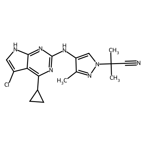 Cc1nn(C(C)(C)C#N)cc1Nc1nc(C2CC2)c2c(Cl)c[nH]c2n1